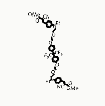 CCN(CCOCCOc1ccc(C(c2ccc(OCCOCCN(CC)c3ccc(/C=C(\C#N)C(=O)OC)cc3)cc2)(C(F)(F)F)C(F)(F)F)cc1)c1ccc(/C=C(\C#N)C(=O)OC)cc1